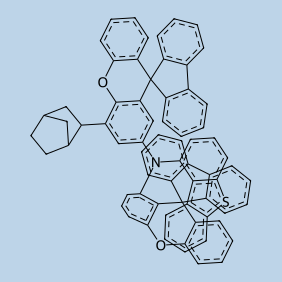 c1ccc2c(c1)Oc1c(C3CC4CCC3C4)cc(N(c3cccc4c3C3(c5ccccc5O4)c4ccccc4-c4ccccc43)c3cccc4sc5ccccc5c34)cc1C21c2ccccc2-c2ccccc21